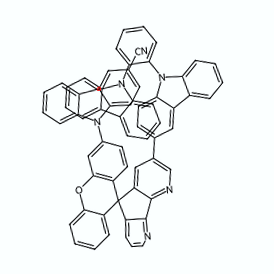 N#Cc1ccc2c(c1)c1ccccc1n2-c1ccc2c(c1)Oc1ccccc1C21c2cccnc2-c2ncc(-c3ccc4c(c3)c3ccccc3n4-c3ccccc3-n3c4ccccc4c4ccccc43)cc21